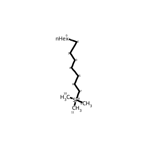 CCCCCCCCCCCC[CH][Si](C)(C)C